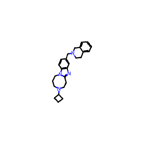 c1ccc2c(c1)CCN(Cc1ccc3c(c1)nc1n3CCCN(C3CCC3)CC1)C2